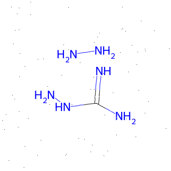 N=C(N)NN.NN